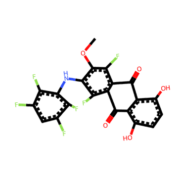 COc1c(F)c2c(c(F)c1Nc1c(F)c(F)cc(F)c1F)C(=O)c1c(O)ccc(O)c1C2=O